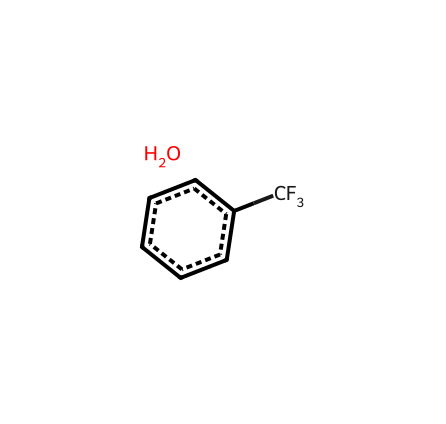 FC(F)(F)c1ccccc1.O